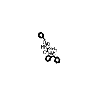 NC(NC(=O)OCc1ccccc1)C(=O)Nc1ccccc1C(=O)c1ccccc1